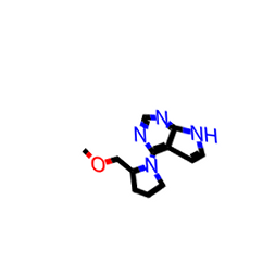 COCC1CCCN1c1ncnc2[nH]ccc12